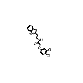 O=C(COc1ccc(Cl)c(Cl)c1)NCCc1nc2ccccc2[nH]1